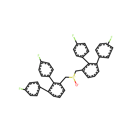 [O-][S+](Cc1cccc(-c2ccc(F)cc2)c1-c1ccc(F)cc1)Cc1cccc(-c2ccc(F)cc2)c1-c1ccc(F)cc1